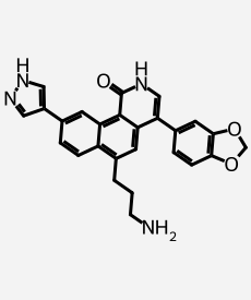 NCCCc1cc2c(-c3ccc4c(c3)OCO4)c[nH]c(=O)c2c2cc(-c3cn[nH]c3)ccc12